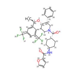 C[C@@H](O[C@H]1CCN(C(=O)[C@H]2CC[C@H](NC(=O)c3ccco3)CC2)C[C@H]1c1ccccc1)c1cc(C(F)(F)F)cc(C(F)(F)F)c1